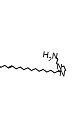 CCCCC=CCCCCCCCCCCCC1=NCCN1CCN